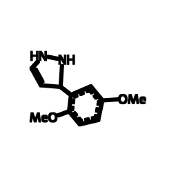 COc1ccc(OC)c(C2C=CNN2)c1